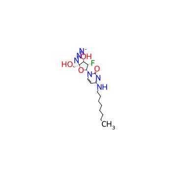 CCCCCCCCNc1ccn([C@@H]2O[C@@](CO)(N=[N+]=[N-])C(O)[C@@H]2F)c(=O)n1